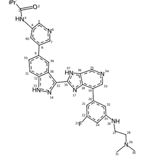 CC(C)C(=O)Nc1cncc(-c2ccc3[nH]nc(-c4nc5c(-c6cc(F)cc(NCCN(C)C)c6)cncc5[nH]4)c3c2)c1